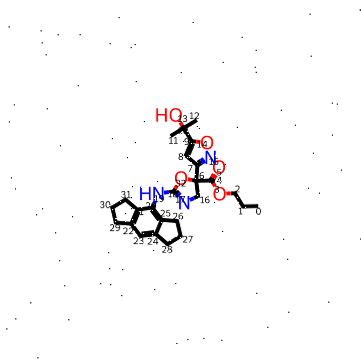 CCCOC(=O)C1(c2cc(C(C)(C)O)on2)CN=C(Nc2c3c(cc4c2CCC4)CCC3)O1